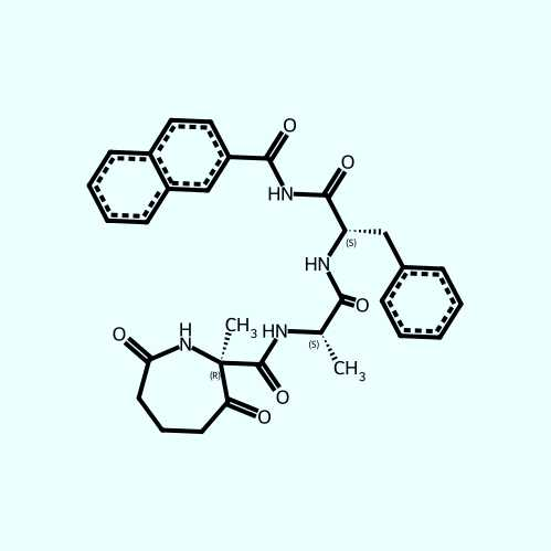 C[C@H](NC(=O)[C@]1(C)NC(=O)CCCC1=O)C(=O)N[C@@H](Cc1ccccc1)C(=O)NC(=O)c1ccc2ccccc2c1